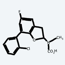 CN(C(=O)O)C1Cc2cc(F)cc(-c3ccccc3Cl)c2O1